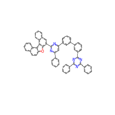 c1ccc(-c2cc(-c3cccc(-c4cccc(-c5nc(-c6ccccc6)nc(-c6ccccc6)n5)c4)c3)nc(-c3cc4ccccc4c4c3oc3ccc5ccccc5c34)n2)cc1